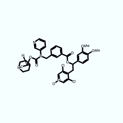 COc1ccc(C(Cc2c(Cl)c[n+]([O-])cc2Cl)OC(=O)c2cccc(CN(C(=O)O[C@H]3CN4CCC3CC4)c3cccnc3)c2)cc1OC